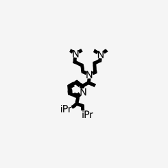 CC(C)CC(c1cccc(C(C)N(CCCN(C)C)CCCN(C)C)n1)C(C)C